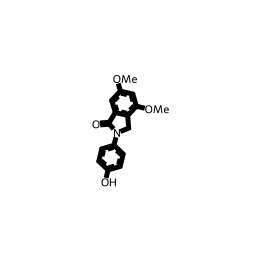 COc1cc(OC)c2c(c1)C(=O)N(c1ccc(O)cc1)C2